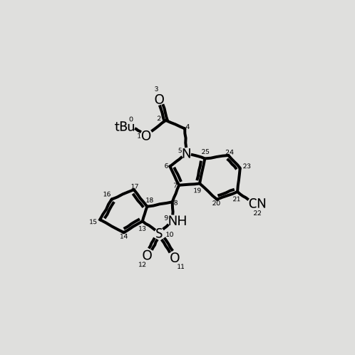 CC(C)(C)OC(=O)Cn1cc(C2NS(=O)(=O)c3ccccc32)c2cc(C#N)ccc21